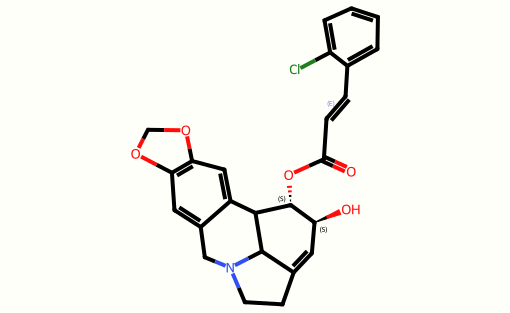 O=C(/C=C/c1ccccc1Cl)O[C@H]1C2c3cc4c(cc3CN3CCC(=C[C@@H]1O)C23)OCO4